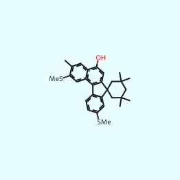 CSc1ccc2c(c1)C1(CC(C)(C)CC(C)(C)C1)c1cc(O)c3cc(C)c(SC)cc3c1-2